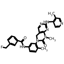 Cc1cnccc1Nc1ncc2c(n1)N(C)C(=O)N(c1cc(NC(=O)c3cccc(CF)c3)ccc1C)C2